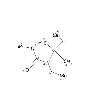 CC(C)OC(=O)N(CC(C)(C)C)C(C)(C)CC(C)(C)C